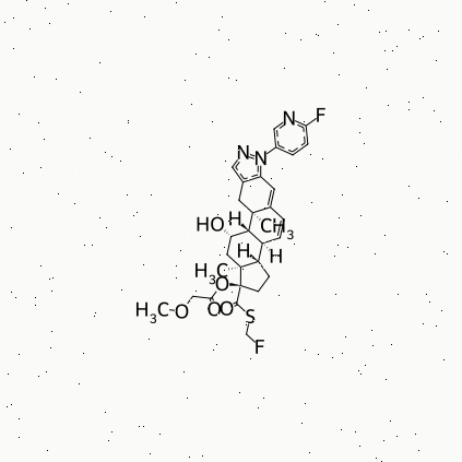 COCC(=O)O[C@]1(C(=O)SCF)CC[C@H]2[C@@H]3C=CC4=Cc5c(cnn5-c5ccc(F)nc5)C[C@]4(C)[C@H]3[C@@H](O)C[C@@]21C